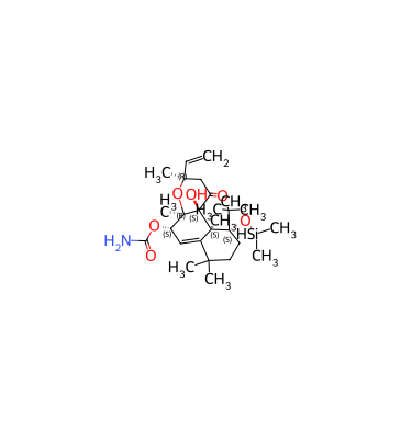 C=C[C@@]1(C)CC(=O)[C@]2(O)[C@]3(C)C(=C[C@H](OC(N)=O)[C@@]2(C)O1)C(C)(C)CC[C@]3(O[SiH](C)C)C(C)(C)C